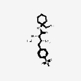 CS(=O)(=O)c1ccc(C[C@@H](N)[C@H](O)C(=O)NC2(CO)CCCCC2)cc1.Cl